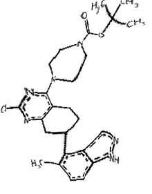 Cc1ccc2[nH]ncc2c1C1CCc2c(nc(Cl)nc2N2CCN(C(=O)OC(C)(C)C)CC2)C1